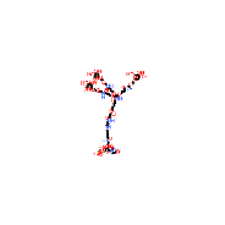 CP(=O)(O)OC[C@H]1O[C@@H](n2ccc(=O)[nH]c2=O)C(OCCNC(=O)CCCCCn2cc(CNC(=O)CCC(=O)OCCCCCC(=O)NC(COCCCC(=O)NCCOCCO[C@H]3C[C@@H](O)[C@@H](O)[C@@H](CO)O3)(COCCCC(=O)NCCOCCO[C@@H]3C[C@H](O)[C@H](O)[C@H](CO)O3)COCCCC(=O)NCCOCCO[C@@H]3C[C@H](O)[C@H](O)[C@H](CO)O3)nn2)C1O